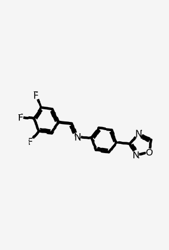 Fc1cc(C=Nc2ccc(-c3ncon3)cc2)cc(F)c1F